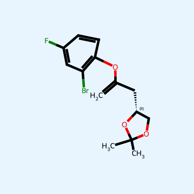 C=C(C[C@@H]1COC(C)(C)O1)Oc1ccc(F)cc1Br